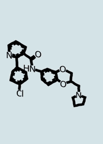 O=C(Nc1ccc2c(c1)OCC(CN1CCCC1)O2)c1cccnc1-c1ccc(Cl)cc1